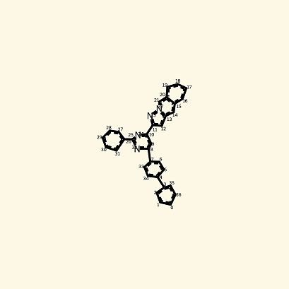 c1ccc(-c2ccc(-c3cc(-c4cc5cc6ccccc6cn5n4)nc(-c4ccccc4)n3)cc2)cc1